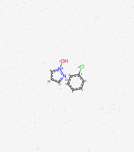 Clc1ccccc1.On1cccn1